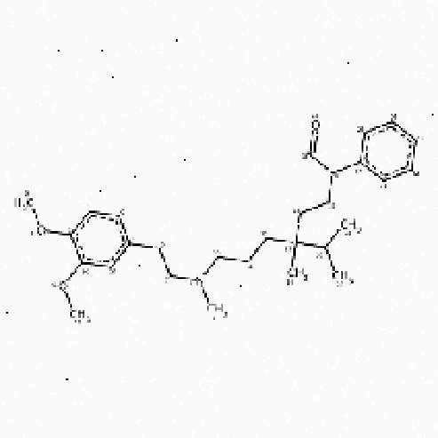 COc1ccc(CCN(C)CCCC(C)(CCC(C=O)c2ccccc2)C(C)C)cc1OC